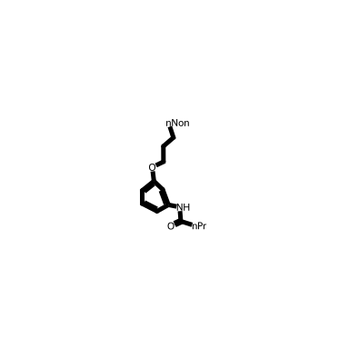 [CH2]CCC(=O)Nc1cccc(OCCCCCCCCCCCC)c1